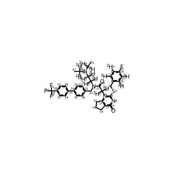 [2H]c1c([2H])c(CSc2nc(=O)c3c(n2C([2H])([2H])C(=O)N(Cc2ccc(-c4ccc(C(F)(F)F)cc4)cc2)C([2H])([2H])C([2H])([2H])N(C([2H])([2H])C)C([2H])([2H])C)CCC3)c([2H])c([2H])c1F